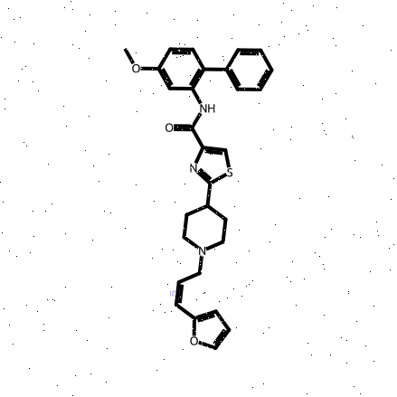 COc1ccc(-c2ccccc2)c(NC(=O)c2csc(C3CCN(C/C=C\c4ccco4)CC3)n2)c1